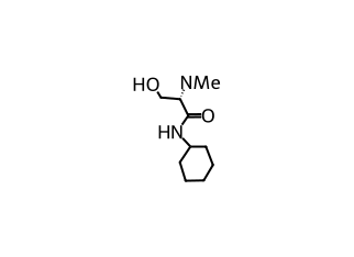 CN[C@@H](CO)C(=O)NC1CCCCC1